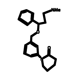 CNCCC(OCc1cccc(N2CCCCC2=O)c1)c1ccccc1